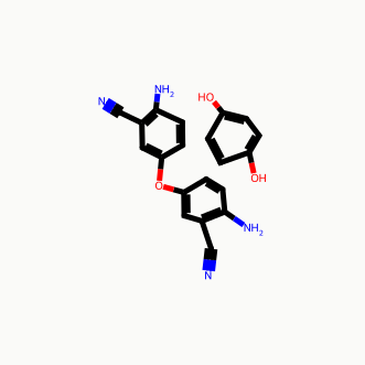 N#Cc1cc(Oc2ccc(N)c(C#N)c2)ccc1N.Oc1ccc(O)cc1